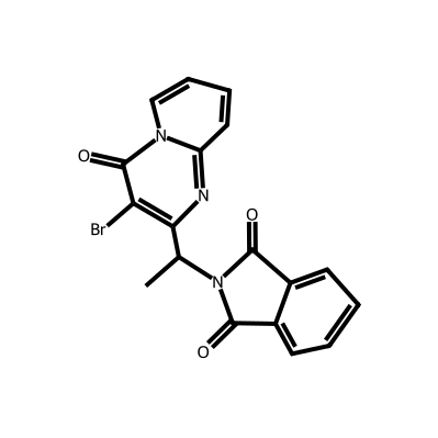 CC(c1nc2ccccn2c(=O)c1Br)N1C(=O)c2ccccc2C1=O